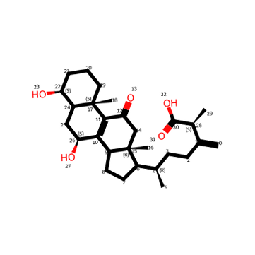 C=C(CC[C@@H](C)C1CCC2C3=C(C(=O)C[C@@]21C)[C@@]1(C)CCC[C@H](O)C1C[C@@H]3O)[C@H](C)C(=O)O